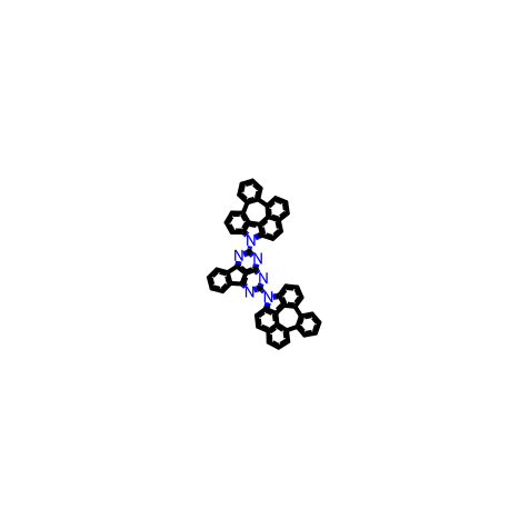 c1ccc2c(c1)-c1nc(-n3c4cccc5c4c4c6c(cccc6ccc43)-c3ccccc3-5)nc3nc(-n4c5cccc6c5c5c7c(cccc7ccc54)-c4ccccc4-6)nc-2c13